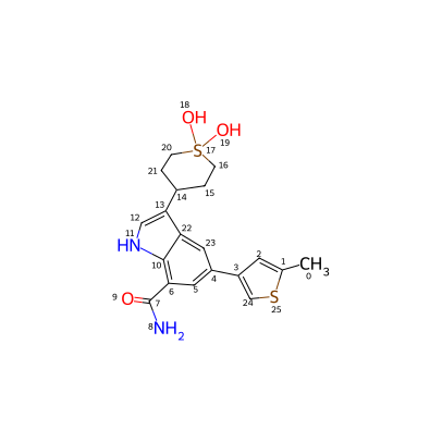 Cc1cc(-c2cc(C(N)=O)c3[nH]cc(C4CCS(O)(O)CC4)c3c2)cs1